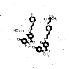 CN(C(=O)c1ccc(OCCCN2CCN(CCC(C)(C)C)CC2)c(F)c1)c1ccc(Cl)cc1.CN(C(=O)c1ccc(OCCCN2CCNCC2)c(F)c1)c1ccc(Cl)cc1.Cl.Cl